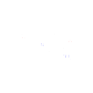 C[C@]1(n2ccc(C(N)=O)c2)CCOC1